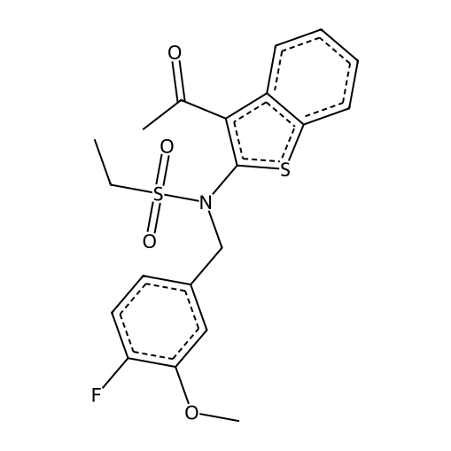 CCS(=O)(=O)N(Cc1ccc(F)c(OC)c1)c1sc2ccccc2c1C(C)=O